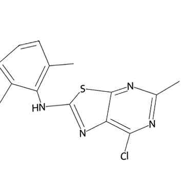 Cc1nc(Cl)c2nc(Nc3c(C)cccc3C)sc2n1